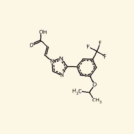 CC(C)Oc1cc(-c2ncn(C=CC(=O)O)n2)cc(C(F)(F)F)c1